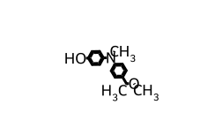 COC(C)c1ccc(N(C)c2ccc(O)cc2)cc1